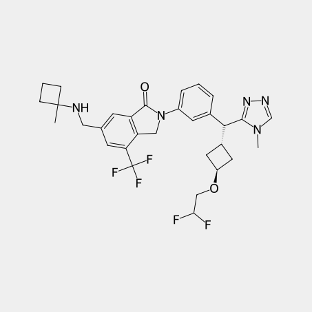 Cn1cnnc1C(c1cccc(N2Cc3c(cc(CNC4(C)CCC4)cc3C(F)(F)F)C2=O)c1)[C@H]1C[C@H](OCC(F)F)C1